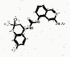 CC(=O)Nc1cc2c(NC(=O)N[C@@H]3CC(C)(C)Oc4cc(C(F)(F)F)ccc43)cccc2cn1